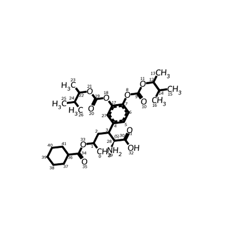 CC(CC(c1ccc(OC(=O)OC(C)C(C)C)c(OC(=O)OC(C)C(C)C)c1)[C@H](N)C(=O)O)OC(=O)C1CCCCC1